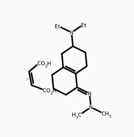 CCN(CC)C1CCC2=C(CCCC2=NN(C)C)C1.O=C(O)/C=C\C(=O)O